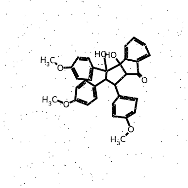 COc1ccc(C2C3C(=O)c4ccccc4C3(O)C(O)(c3ccc(OC)cc3)C2c2ccc(OC)cc2)cc1